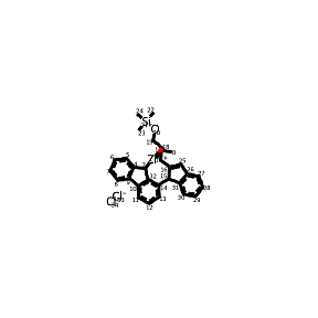 C[CH]=[Zr+2][CH]1c2ccccc2-c2cccc(C3C(CCCO[Si](C)(C)C)=Cc4ccccc43)c21.[Cl-].[Cl-]